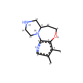 Cc1cnc2c(c1C)OCCC1CNCCN21